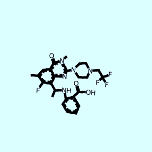 Cc1cc2c(=O)n(C)c(N3CCN(CC(F)(F)F)CC3)nc2c(C(C)Nc2ccccc2C(=O)O)c1F